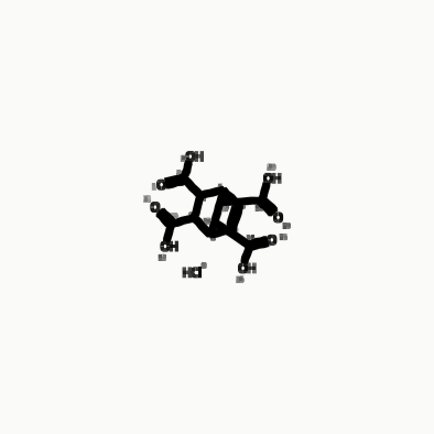 Cl.O=C(O)C1C2C=CC(C1C(=O)O)C(C(=O)O)C2C(=O)O